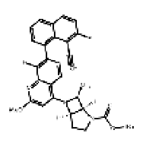 C#Cc1c(F)ccc2cccc(-c3ncc4c(N5[C@@H]6CCN(C(=O)OC(C)(C)C)[C@@H]6[C@@H]5C)cc(OC)nc4c3F)c12